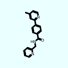 Cc1ccnc(-c2ccc(C(=O)NCc3ccccn3)cc2)c1